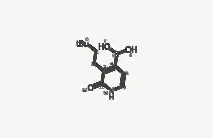 CC(C)(C)CCc1c(B(O)O)cc[nH]c1=O